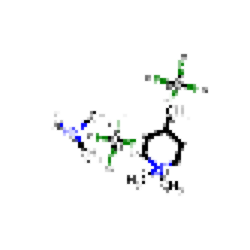 CC1CC[N+](C)(C)CC1.C[NH+](C)C.F[B-](F)(F)F.F[B-](F)(F)F